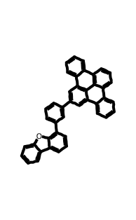 c1cc(-c2cc3c4ccccc4c4cccc5c6ccccc6c(c2)c3c45)cc(-c2cccc3c2oc2ccccc23)c1